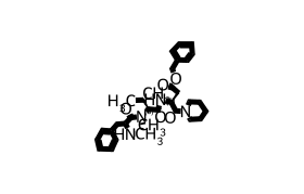 CNC(Cc1ccccc1)C(=O)N(C)[C@H](C(=O)N[C@@H](CC(=O)OCc1ccccc1)C(=O)N1CCCCC1)C(C)C